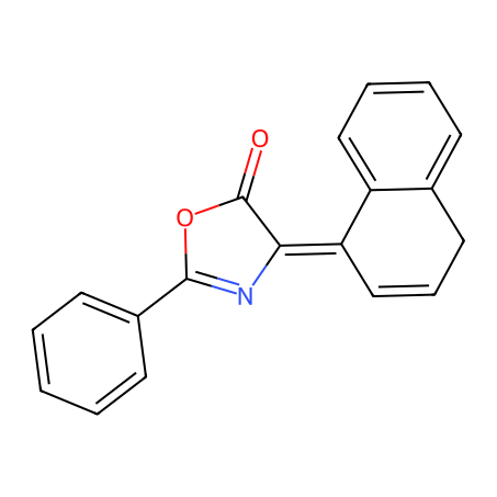 O=C1OC(c2ccccc2)=NC1=C1C=CCc2ccccc21